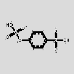 O=S(=O)(O)Oc1ccc(S(=O)(=O)O)cc1